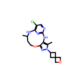 Cc1c2c(nn1C1CC3(COC3)C1)OCCC(C)Nc1nc(ncc1Cl)N2